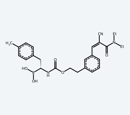 CCN(CC)C(=O)C(C#N)=Cc1cccc(CCOC(=O)N[C@@H](Cc2ccc(C)cc2)B(O)O)c1